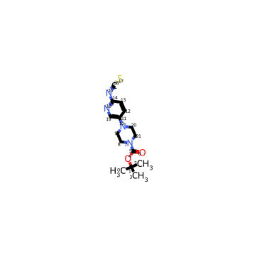 CC(C)(C)OC(=O)N1CCN(c2ccc(N=C=S)nc2)CC1